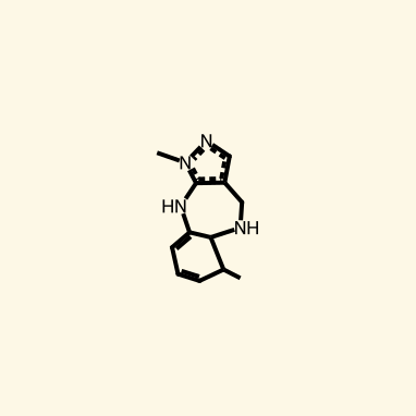 CC1C=CC=C2Nc3c(cnn3C)CNC21